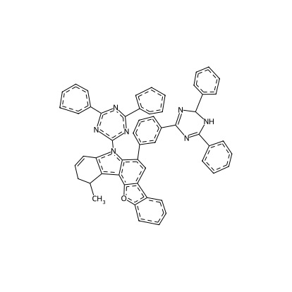 CC1CC=Cc2c1c1c3oc4ccccc4c3cc(-c3cccc(C4=NC(c5ccccc5)NC(c5ccccc5)=N4)c3)c1n2-c1nc(-c2ccccc2)nc(-c2ccccc2)n1